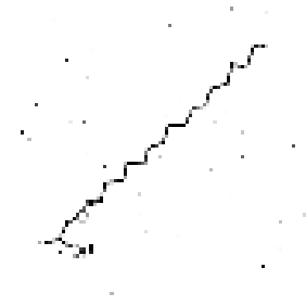 [CH2]C(O)CO/C=C/CCCCCCCCCCCCCCCC